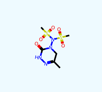 CC1=NNC(=O)N(N(S(C)(=O)=O)S(C)(=O)=O)C1